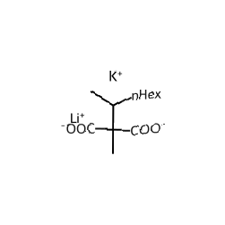 CCCCCCC(C)C(C)(C(=O)[O-])C(=O)[O-].[K+].[Li+]